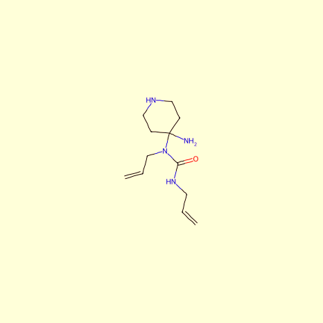 C=CCNC(=O)N(CC=C)C1(N)CCNCC1